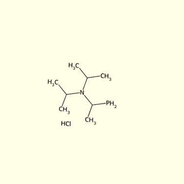 CC(C)N(C(C)C)C(C)P.Cl